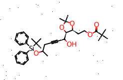 CC(CC#CC(O)[C@H]1OC(C)(C)O[C@H]1CCOC(=O)C(C)(C)C)O[Si](c1ccccc1)(c1ccccc1)C(C)(C)C